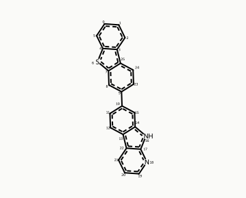 c1ccc2c(c1)sc1cc(-c3ccc4c(c3)[nH]c3ncccc34)ccc12